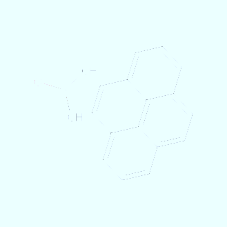 C[S+](C)[O-].c1cc2ccc3cccc4ccc(c1)c2c34